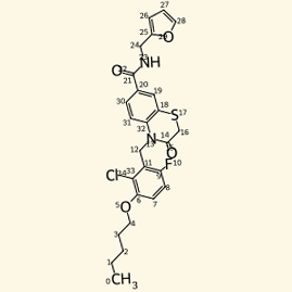 CCCCCOc1ccc(F)c(CN2C(=O)CSc3cc(C(=O)NCc4ccco4)ccc32)c1Cl